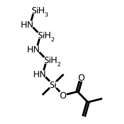 C=C(C)C(=O)O[Si](C)(C)N[SiH2]N[SiH2]N[SiH3]